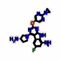 CNc1cc(F)cc2c1[nH]c1nc(Oc3cnc(N4CC4)nc3)nc(N3CC[C@H](N)C3)c12